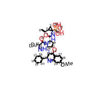 C=CC1CC1(NC(=O)[C@@H]1C[C@@H](Oc2cc(-c3ccccc3)nc3cc(OC)ccc23)CN1C(=O)[C@@H](N)C(C)(C)C)P(=O)(O)O